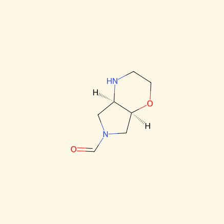 O=CN1C[C@@H]2OCCN[C@@H]2C1